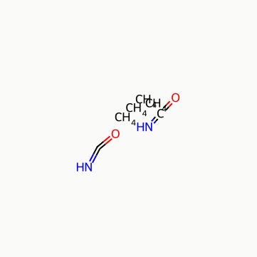 C.C.C.C.N=C=O.N=C=O